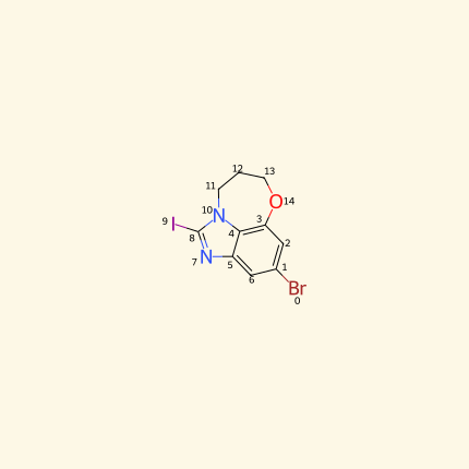 Brc1cc2c3c(c1)nc(I)n3CCCO2